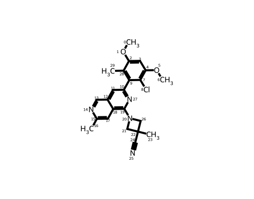 COc1cc(OC)c(Cl)c(-c2cc3cnc(C)cc3c(N3CC(C)(C#N)C3)n2)c1C